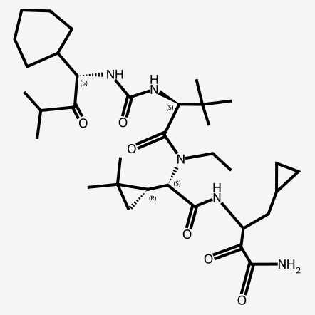 CCN(C(=O)[C@@H](NC(=O)N[C@H](C(=O)C(C)C)C1CCCCC1)C(C)(C)C)[C@H](C(=O)NC(CC1CC1)C(=O)C(N)=O)[C@@H]1CC1(C)C